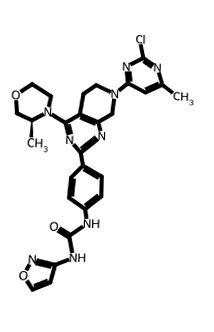 Cc1cc(N2CCc3c(nc(-c4ccc(NC(=O)Nc5ccon5)cc4)nc3N3CCOC[C@@H]3C)C2)nc(Cl)n1